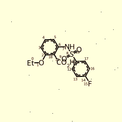 CCOc1cccc(NS(=O)(=O)c2ccc(F)cc2)c1C(=O)O